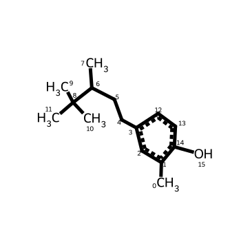 Cc1cc(CCC(C)C(C)(C)C)ccc1O